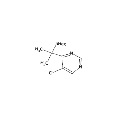 CCCCCCC(C)(C)c1ncncc1Cl